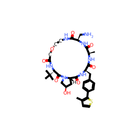 Cc1ccsc1-c1ccc(C[C@H]2NC(=O)[C@@H]3C[C@@H](O)CN3C(=O)[C@H](C(C)(C)C)NC(=O)COCCNC(=O)[C@@H](CN)NC(=O)[C@@H](C)NC2=O)cc1